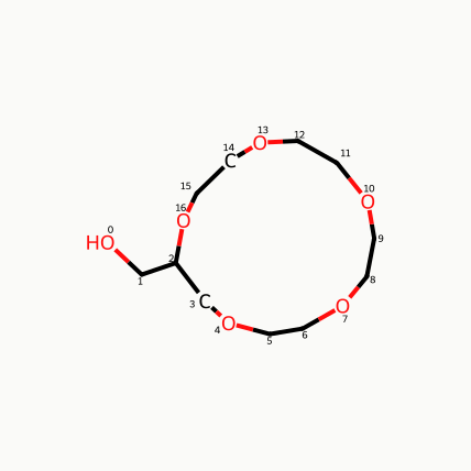 OCC1COCCOCCOCCOCCO1